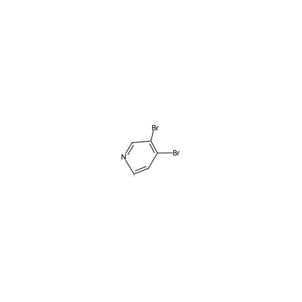 Brc1c[c]ncc1Br